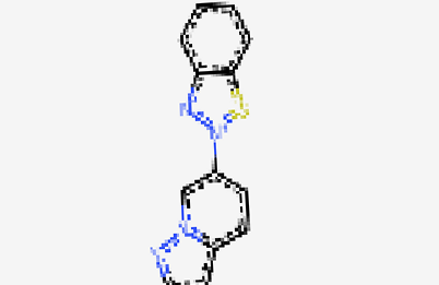 c1ccc2s[n+](-c3ccc4ccnn4c3)nc2c1